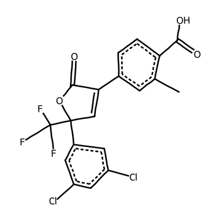 Cc1cc(C2=CC(c3cc(Cl)cc(Cl)c3)(C(F)(F)F)OC2=O)ccc1C(=O)O